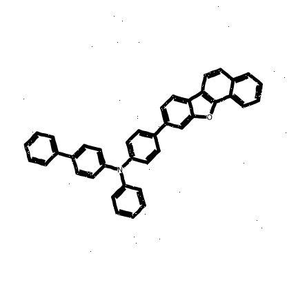 c1ccc(-c2ccc(N(c3ccccc3)c3ccc(-c4ccc5c(c4)oc4c6ccccc6ccc54)cc3)cc2)cc1